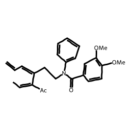 C=C/C=C(CCN(C(=O)c1ccc(OC)c(OC)c1)c1ccccc1)\C(=C/C)C(C)=O